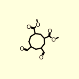 COC(=O)C1CCC(C=O)CC(C=O)CC(C(=O)OC)C1